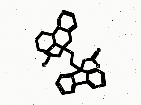 O=C(Cl)CC1(CCC2(CC(=O)Cl)Cc3ccccc3C3CCCCC32)c2ccccc2-c2ccccc21